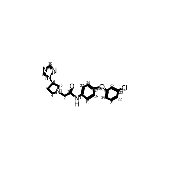 O=C(CN1CC[C@@H](n2cncn2)C1)Nc1ccc(Oc2cccc(Cl)c2)cc1